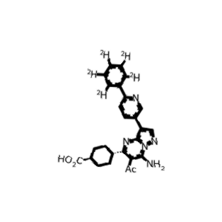 [2H]c1c([2H])c([2H])c(-c2ccc(-c3cnn4c(N)c(C(C)=O)c([C@H]5CC[C@H](C(=O)O)CC5)nc34)cn2)c([2H])c1[2H]